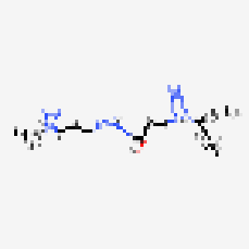 CNCCCNC(=O)CCNC(C)C